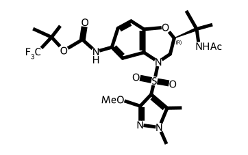 COc1nn(C)c(C)c1S(=O)(=O)N1C[C@H](C(C)(C)NC(C)=O)Oc2ccc(NC(=O)OC(C)(C)C(F)(F)F)cc21